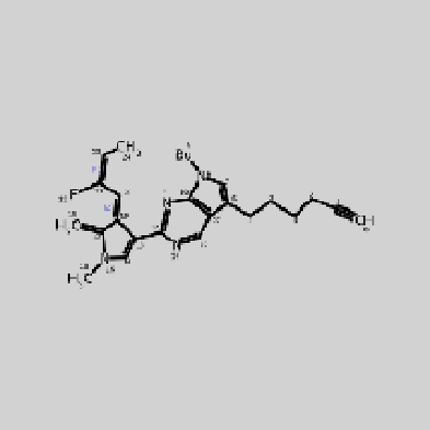 C#CCCCCc1cn(C(C)CC)c2nc(-c3cn(C)c(=C)/c3=C\C(F)=C/C)ncc12